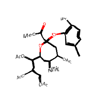 COC(=O)C1(Oc2cc(C)ccc2C(C)C)CC(OC(C)=O)C(NC(C)=O)C(C(OC(C)=O)C(COC(C)=O)OC(C)=O)O1